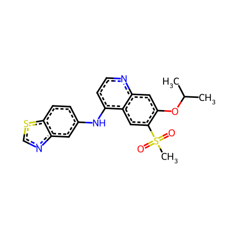 CC(C)Oc1cc2nccc(Nc3ccc4scnc4c3)c2cc1S(C)(=O)=O